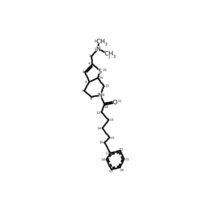 CN(C)CC1=CC2CCN(C(=O)CCCCCc3ccccc3)CC2S1